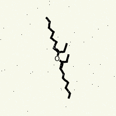 CCCCCC/C=C(\CC)O/C(=C/CCCCCC)CC